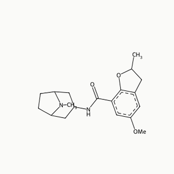 COc1cc2c(c(C(=O)NC3CC4CCC(C3)N4C)c1)OC(C)C2